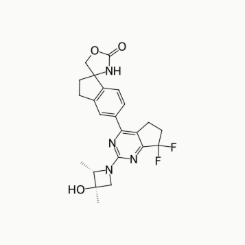 C[C@@H]1N(c2nc(-c3ccc4c(c3)CCC43COC(=O)N3)c3c(n2)C(F)(F)CC3)C[C@@]1(C)O